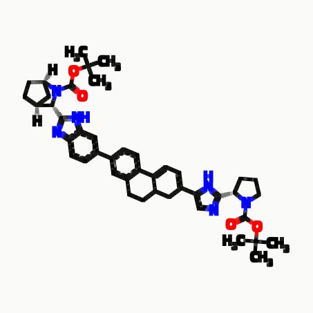 CC(C)(C)OC(=O)N1CCC[C@H]1c1ncc(C2=CC=C3c4ccc(-c5ccc6nc([C@@H]7[C@H]8CC[C@H](C8)N7C(=O)OC(C)(C)C)[nH]c6c5)cc4CCC3C2)[nH]1